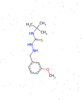 COc1cccc(CNNC(=S)NC(C)(C)C)c1